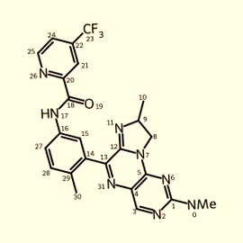 CNc1ncc2c(n1)N1CC(C)N=C1C(c1cc(NC(=O)c3cc(C(F)(F)F)ccn3)ccc1C)=N2